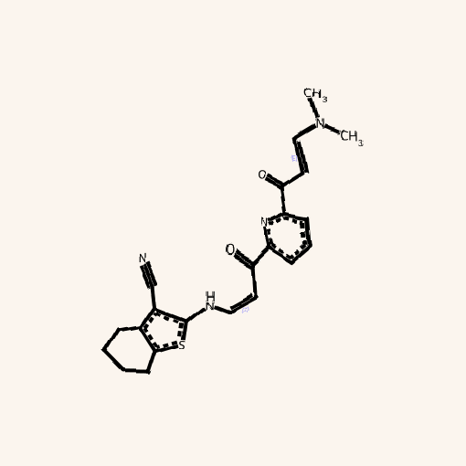 CN(C)/C=C/C(=O)c1cccc(C(=O)/C=C\Nc2sc3c(c2C#N)CCCC3)n1